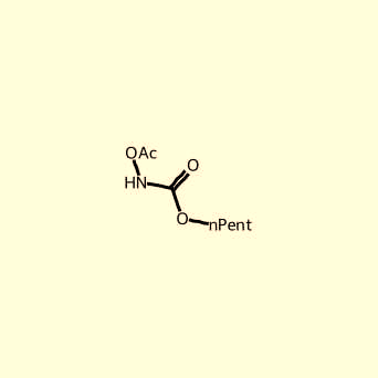 CCCCCOC(=O)NOC(C)=O